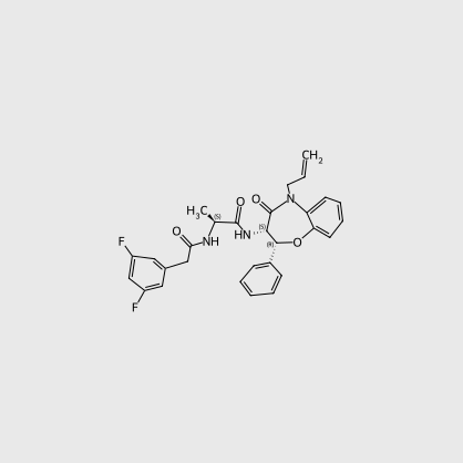 C=CCN1C(=O)[C@@H](NC(=O)[C@H](C)NC(=O)Cc2cc(F)cc(F)c2)[C@@H](c2ccccc2)Oc2ccccc21